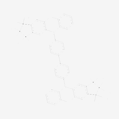 CC1(C)c2cc3c(cc2C(C)(C)C1(C)C)N(c1ccc(-c2ccc(N4c5ccccc5Sc5cc6c(cc54)C(C)(C)C(C)(C)C6(C)C)cc2)cc1)c1ccccc1S3